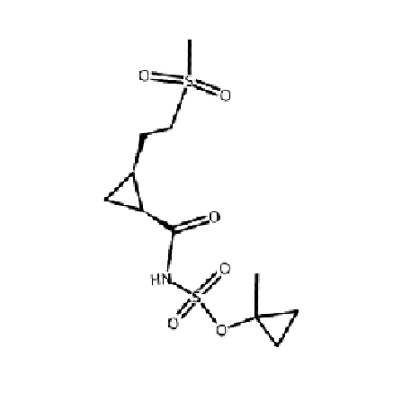 CC1(OS(=O)(=O)NC(=O)[C@H]2C[C@H]2CCS(C)(=O)=O)CC1